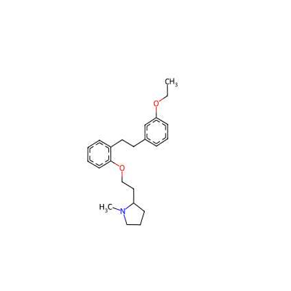 CCOc1cccc(CCc2ccccc2OCCC2CCCN2C)c1